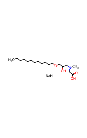 CCCCCCCCCCCCOCC(O)CN(C)CC(=O)O.[NaH]